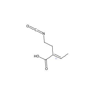 C/C=C(\CCN=C=O)C(=O)O